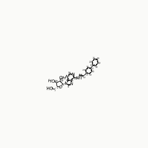 OC[C@H]1O[C@@H](n2cnc3c(N/N=C/c4ccc(-c5ccccc5)cc4)ncnc32)[C@H](O)[C@@H]1O